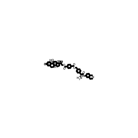 C[C@]12C=CC(=O)C=C1CC[C@@H]1[C@@H]2[C@@H](O)C[C@@]2(C)[C@H]1CC[C@]2(O)C(=O)COC(=O)c1ccc(C(=O)OCc2ccc([C@@H](CN)C(=O)Nc3ccc4cnccc4c3)cc2)cc1